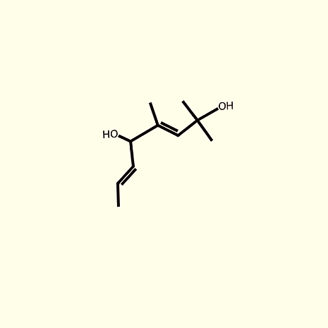 CC=CC(O)C(C)=CC(C)(C)O